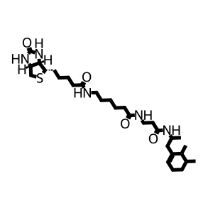 CC(CC1=CCCC(C)C1C)NC(=O)CCNC(=O)CCCCCNC(=O)CCCC[C@@H]1SC[C@@H]2NC(=O)N[C@@H]21